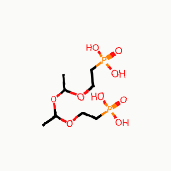 CC(OCCP(=O)(O)O)OC(C)OCCP(=O)(O)O